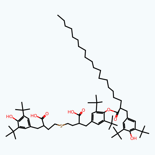 CCCCCCCCCCCCCCCCCCC(Cc1cc(C(C)(C)C)c(O)c(C(C)(C)C)c1)C(=O)Oc1c(C(C)(C)C)cc(CC(CCSCCC(Cc2cc(C(C)(C)C)c(O)c(C(C)(C)C)c2)C(=O)O)C(=O)O)cc1C(C)(C)C